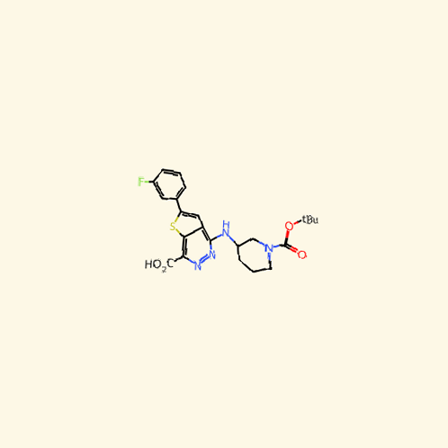 CC(C)(C)OC(=O)N1CCCC(Nc2nnc(C(=O)O)c3sc(-c4cccc(F)c4)cc23)C1